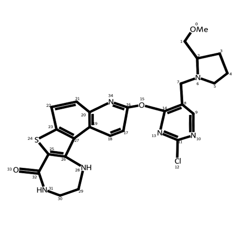 COCC1CCCN1Cc1cnc(Cl)nc1Oc1ccc2c(ccc3sc4c(c32)NCCNC4=O)n1